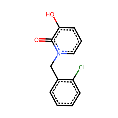 O=c1c(O)cccn1Cc1ccccc1Cl